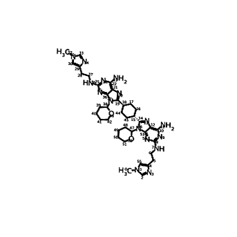 Cn1cnc(CCNc2nc(N)c3nc([C@H]4CC[C@H](c5nc6c(N)nc(NCCc7cn(C)cn7)nc6n5C5CCCCO5)CC4)n(C4CCCCO4)c3n2)c1